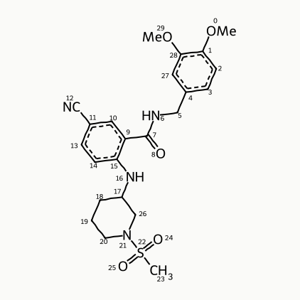 COc1ccc(CNC(=O)c2cc(C#N)ccc2NC2CCCN(S(C)(=O)=O)C2)cc1OC